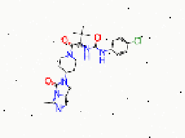 Cc1ncc2n1C(=O)N(C1CCN(C(=O)[C@H](NC(=O)Nc3ccc(Cl)cc3)C(C)(C)C)CC1)C2